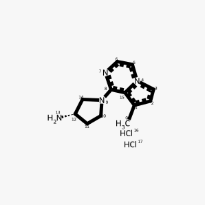 Cc1ccn2ccnc(N3CC[C@H](N)C3)c12.Cl.Cl